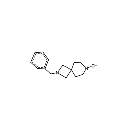 CN1CCC2(CC1)CN(Cc1ccccc1)C2